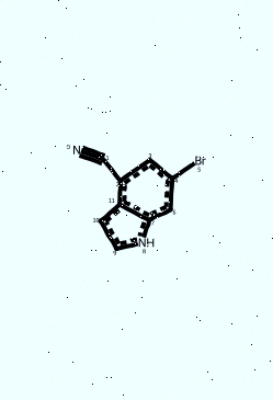 N#Cc1cc(Br)cc2[nH]ccc12